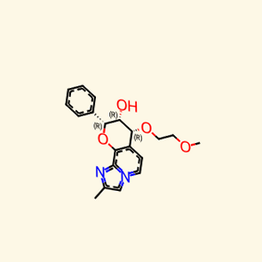 COCCO[C@@H]1c2ccn3cc(C)nc3c2O[C@H](c2ccccc2)[C@@H]1O